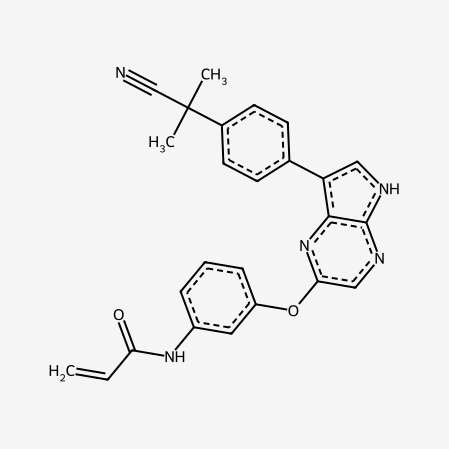 C=CC(=O)Nc1cccc(Oc2cnc3[nH]cc(-c4ccc(C(C)(C)C#N)cc4)c3n2)c1